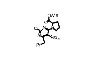 COC(=O)C1CCCN1c1nc(Cl)nc(CC(C)C)c1[N+](=O)[O-]